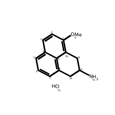 COc1ccc2cccc3c2c1CC(N)C3.Cl